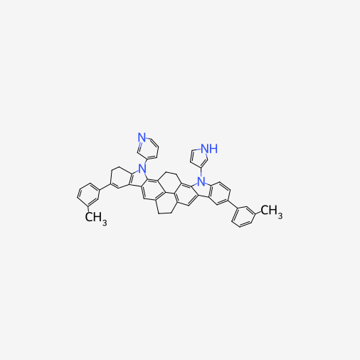 Cc1cccc(C2=Cc3c(n(-c4cccnc4)c4c5c6c(cc34)CCc3cc4c7cc(-c8cccc(C)c8)ccc7n(-c7cc[nH]c7)c4c(c3-6)CC5)CC2)c1